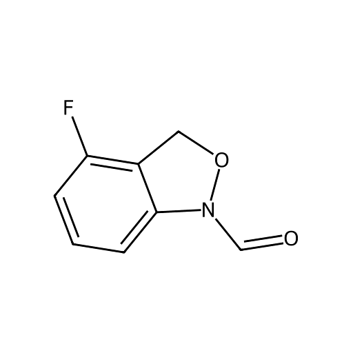 O=CN1OCc2c(F)cccc21